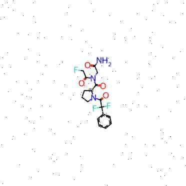 NC(=O)CN(C(=O)CF)C(=O)[C@@H]1CCCN1C(=O)C(F)(F)c1ccccc1